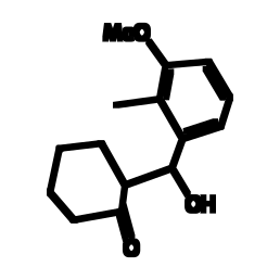 COc1cccc(C(O)C2CCCCC2=O)c1C